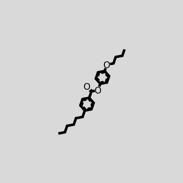 CCCCCCc1ccc(C(=O)Oc2ccc(OCCCC)cc2)cc1